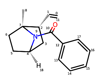 C=C[C@@H]1C[C@H]2CC[C@]1(C)N2C(=O)c1ccccc1